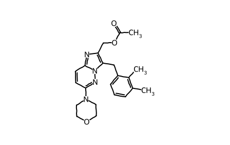 CC(=O)OCc1nc2ccc(N3CCOCC3)nn2c1Cc1cccc(C)c1C